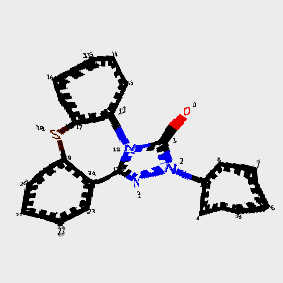 O=c1n(-c2ccccc2)nc2n1-c1ccccc1Sc1ccccc1-2